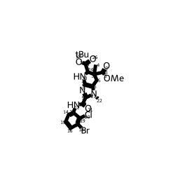 COC(=O)C1(C)Cc2c(nc(C(=O)Nc3cccc(Br)c3Cl)n2C)NC1C(=O)OC(C)(C)C